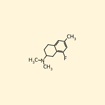 Cc1cc(F)c2c(c1)CCC(N(C)C)C2